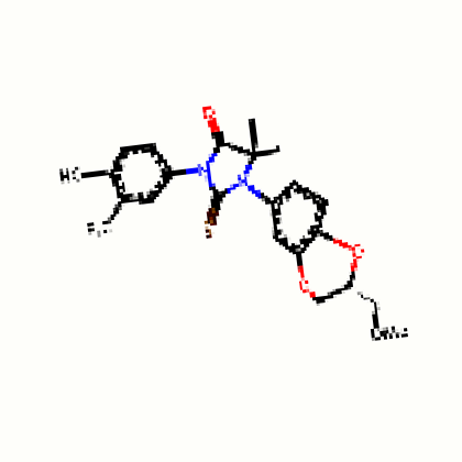 COC[C@@H]1COc2cc(N3C(=S)N(c4ccc(C#N)c(C(F)(F)F)c4)C(=O)C3(C)C)ccc2O1